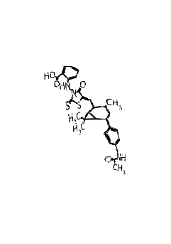 CC(=O)Nc1ccc(C2CC(C)C(C=C3SC(=S)N(Nc4ccccc4C(=O)O)C3=O)C3C2C3(C)C)cc1